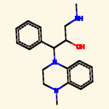 CNCC(O)C(c1ccccc1)N1CCN(C)c2ccccc21